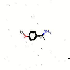 CCOc1ccc([C@@H](C)N)cc1